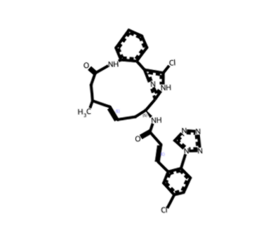 CC1/C=C/C[C@H](NC(=O)/C=C/c2cc(Cl)ccc2-n2cnnn2)c2nc(c(Cl)[nH]2)-c2ccccc2NC(=O)C1